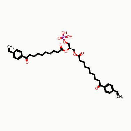 C=Cc1ccc(C(=O)CCCCCCCCC(=O)OC[C@H](COP(=O)(O)O)OC(=O)CCCCCCCCC(=O)c2ccc(C=C)cc2)cc1